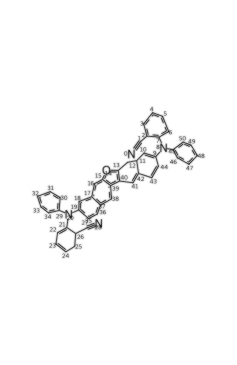 N#Cc1ccccc1N(C1=CC2Cc3oc4cc5cc(N(C6=CC=CCC6C#N)c6ccccc6)ccc5cc4c3C=C2C=C1)c1ccccc1